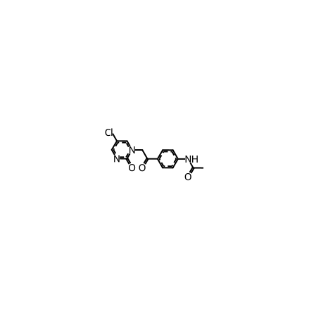 CC(=O)Nc1ccc(C(=O)Cn2cc(Cl)cnc2=O)cc1